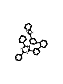 c1ccc(-c2nc(-c3ccccc3)nc(-c3cccc(-c4ccccc4-c4cccc(-c5cn6ccccc6n5)c4)c3)n2)cc1